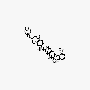 CN1C(=O)N(c2c(F)cccc2Br)Cc2cnc(Nc3ccc4c(c3)OC(CN3CCOCC3)CO4)nc21